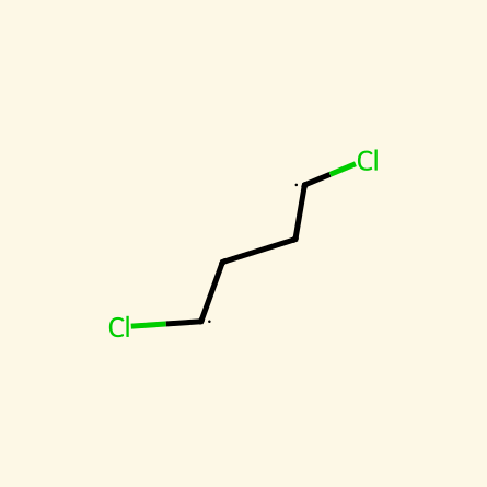 Cl[CH]CC[CH]Cl